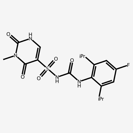 CC(C)c1cc(F)cc(C(C)C)c1NC(=O)NS(=O)(=O)c1c[nH]c(=O)n(C)c1=O